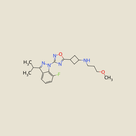 COCCCNC1CC(c2nc(-n3nc(C(C)C)c4cccc(F)c43)no2)C1